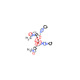 CN1C(=O)CCc2cc(C(CCN3CCN(c4ccccc4)CC3)OC(=O)C(=O)OC(CCN3CCN(c4ccccc4)CC3)c3ccc4c(c3)CCC(=O)N4C)ccc21